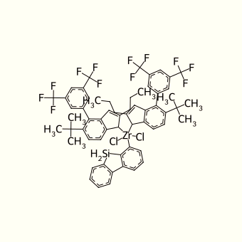 CCCC1=Cc2c(ccc(C(C)(C)C)c2-c2cc(C(F)(F)F)cc(C(F)(F)F)c2)[CH]1[Zr]([Cl])([Cl])([c]1cccc2c1[SiH2]c1ccccc1-2)[CH]1C(CCC)=Cc2c1ccc(C(C)(C)C)c2-c1cc(C(F)(F)F)cc(C(F)(F)F)c1